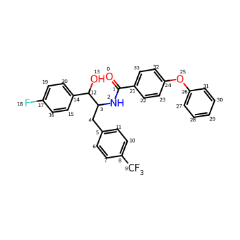 O=C(NC(Cc1ccc(C(F)(F)F)cc1)C(O)c1ccc(F)cc1)c1ccc(Oc2ccccc2)cc1